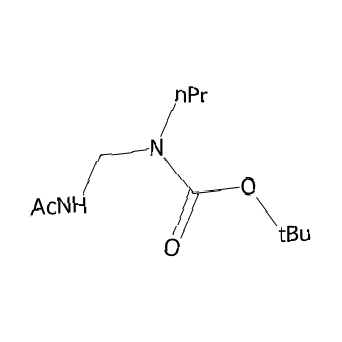 CCCN(CNC(C)=O)C(=O)OC(C)(C)C